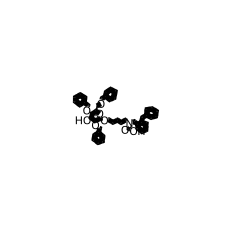 O=C(O)N(CCCCCO[C@@H]1O[C@H](COCc2ccccc2)[C@H](OCc2ccccc2)[C@H](O)[C@H]1OCc1ccccc1)Cc1ccccc1Cc1ccccc1